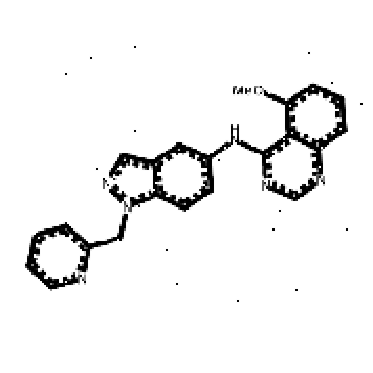 COc1cccc2ncnc(Nc3ccc4c(cnn4Cc4ccccn4)c3)c12